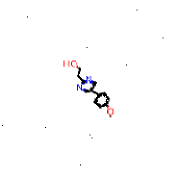 COc1ccc(-c2cnc(CCO)nc2)cc1